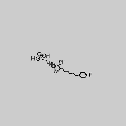 O=P(O)(O)CCCNCc1cc(Cl)c(CCCCCCc2ccc(F)cc2)cn1